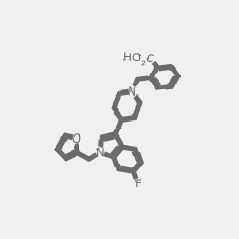 O=C(O)c1ccccc1CN1CCC(c2cn(Cc3ccco3)c3cc(F)ccc23)CC1